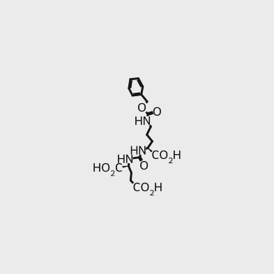 O=C(O)CC[C@H](NC(=O)N[C@@H](CCCNC(=O)OCc1ccccc1)C(=O)O)C(=O)O